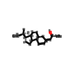 CCCCC(=O)/C=C1/C=CC2C(CC[C@@]3(C)C2CC[C@@H]3[C@H](C)C=O)C1